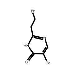 O=c1[nH]c(CCBr)ncc1Br